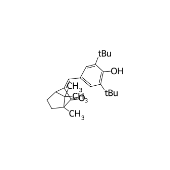 CC(C)(C)c1cc(C=C2C(=O)C3(C)CCC2C3(C)C)cc(C(C)(C)C)c1O